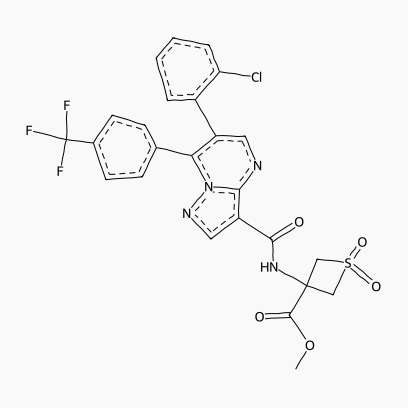 COC(=O)C1(NC(=O)c2cnn3c(-c4ccc(C(F)(F)F)cc4)c(-c4ccccc4Cl)cnc23)CS(=O)(=O)C1